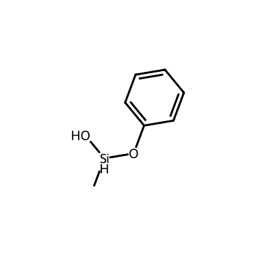 C[SiH](O)Oc1ccccc1